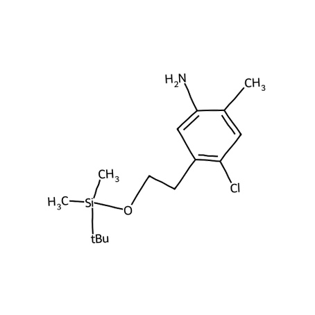 Cc1cc(Cl)c(CCO[Si](C)(C)C(C)(C)C)cc1N